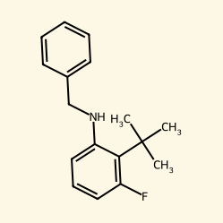 CC(C)(C)c1c(F)cccc1NCc1ccccc1